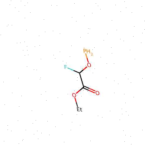 CCOC(=O)C(F)OP